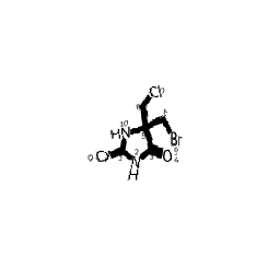 O=C1NC(=O)C(CCl)(CBr)N1